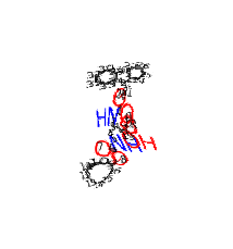 O=C(N[C@H](CNC(=O)OC1C#CCCCCC1)C(=O)O)OCC1c2ccccc2-c2ccccc21